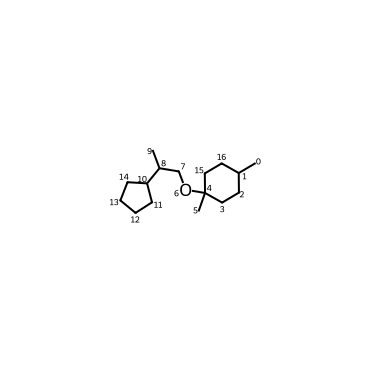 CC1CCC(C)(OCC(C)C2CCCC2)CC1